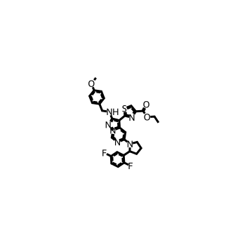 CCOC(=O)c1csc(-c2c(NCc3ccc(OC)cc3)nn3cnc(N4CCCC4c4cc(F)ccc4F)cc23)n1